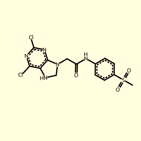 CS(=O)(=O)c1ccc(NC(=O)CN2CNc3c(Cl)nc(Cl)nc32)cc1